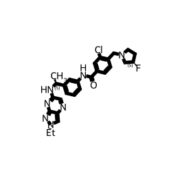 CCn1cc2ncc(N[C@@H](C)c3cccc(NC(=O)c4ccc(CN5CC[C@H](F)C5)c(Cl)c4)c3)nc2n1